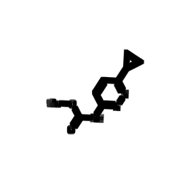 CC(C)(C)OC(=O)Nc1ccc(C2CC2)nn1